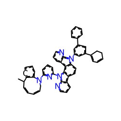 CC1/C=C\C=C/CN(c2cccc(-n3c4ncccc4c4ccc5c(c6cccnc6n5-c5cc(C6=CC=CCC6)cc(-c6ccccc6)c5)c43)n2)c2ccccc21